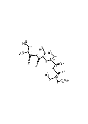 COCN(CO)C(=O)CC(=O)N(CO)CN(CO)C(=O)CC(=O)N(CO)C(C)=O